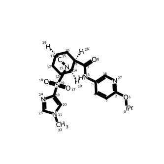 CC(C)Oc1ccc(NC(=O)[C@@H]2C[C@@H]3CC[C@H]2N(S(=O)(=O)c2cn(C)cn2)C3)cn1